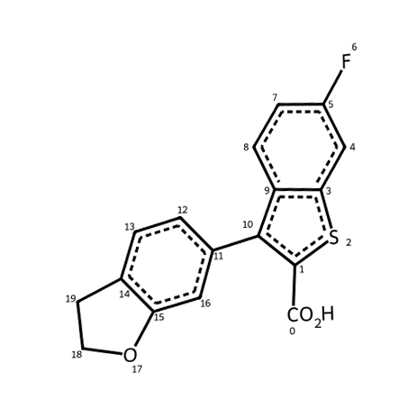 O=C(O)c1sc2cc(F)ccc2c1-c1ccc2c(c1)OCC2